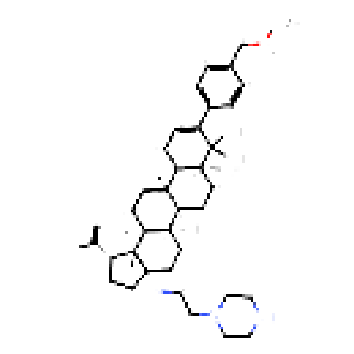 C=C(C)[C@@H]1CC[C@]2(NCCN3CCNCC3)CC[C@]3(C)[C@H](CC[C@@H]4[C@@]5(C)CC=C(c6ccc(COOC)cc6)C(C)(C)[C@@H]5CC[C@]43C)[C@@H]12